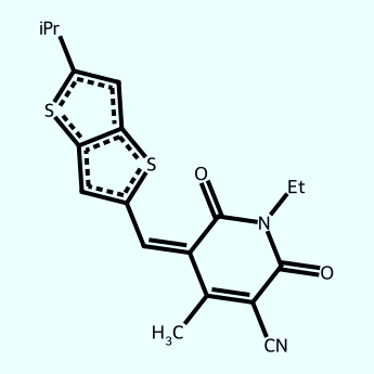 CCN1C(=O)C(C#N)=C(C)/C(=C/c2cc3sc(C(C)C)cc3s2)C1=O